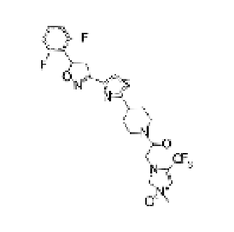 C[N+]1([O-])C=C(C(F)(F)F)N(CC(=O)N2CCC(c3nc(C4=NOC(c5c(F)cccc5F)C4)cs3)CC2)C1